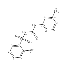 CC(C)c1ccccc1S(=O)(=O)NC(=O)Nc1cccc(C(F)(F)F)c1